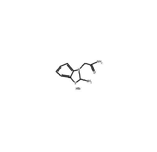 Br.NC(=O)CN1c2ccccc2SC1N